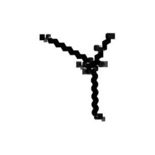 CCCCCCCCCCCCOC(OCCCCCCCCCCCC)(C(C)O)C(O)CC[NH+]([O-])CCCO